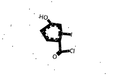 O=C(Cl)c1ccc(O)cc1I